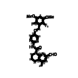 COc1cc(OC)c(F)c(COc2cnc(NC(=O)N3CCCc4c(C)cc(C=O)nc43)nc2)c1F